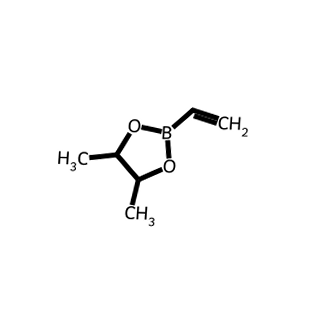 C=CB1OC(C)C(C)O1